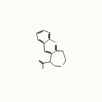 O=C(O)C1CNCCc2nc3ccccc3cc21